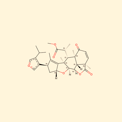 COC(=O)[C@H](C)[C@H]1[C@]2(C)C3=C(C)[C@H](c4cocc4C(C)C)C[C@H]3O[C@@H]2[C@@H]2OC(=O)[C@]3(C)C=CC(=O)[C@@]1(C)[C@@H]23